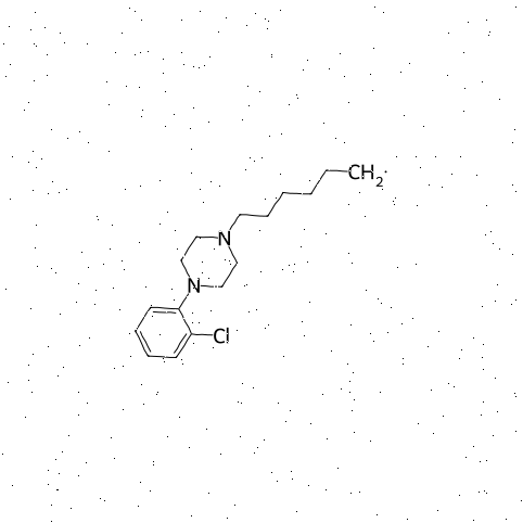 [CH2]CCCCCN1CCN(c2ccccc2Cl)CC1